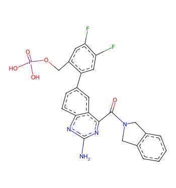 Nc1nc(C(=O)N2Cc3ccccc3C2)c2cc(-c3cc(F)c(F)cc3COP(=O)(O)O)ccc2n1